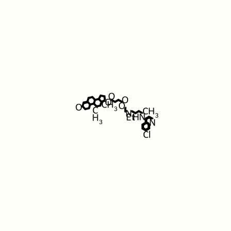 CCN(CCCC(C)Nc1ccnc2cc(Cl)ccc12)CCOC(=O)CCC(=O)OC1CCC2C3CCC4=CC(=O)CCC4C3C(C)CC12C